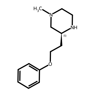 CN1CCN[C@@H](CCOc2ccccc2)C1